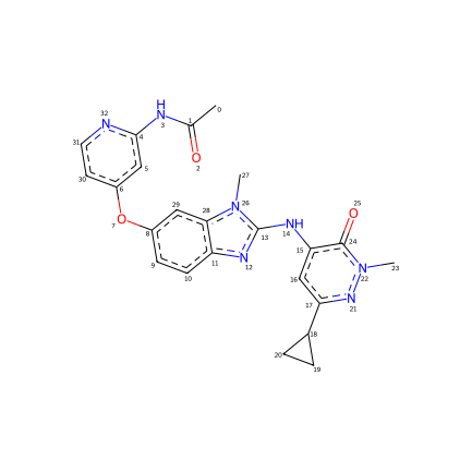 CC(=O)Nc1cc(Oc2ccc3nc(Nc4cc(C5CC5)nn(C)c4=O)n(C)c3c2)ccn1